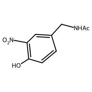 CC(=O)NCc1ccc(O)c([N+](=O)[O-])c1